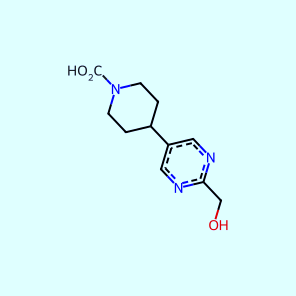 O=C(O)N1CCC(c2cnc(CO)nc2)CC1